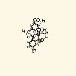 Cc1cc(C(=O)O)cc(C)c1[C@H]1Nc2ccc(Cl)cc2[C@@H]2OCCC[C@H]12